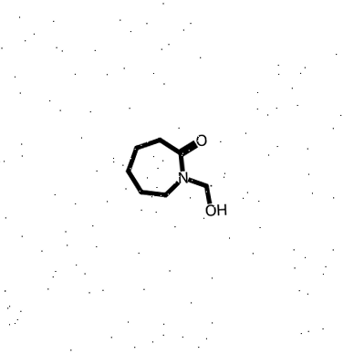 O=C1CCCCCN1[CH]O